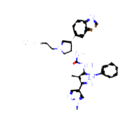 COCCN1C[C@@H](NC(=O)Nc2c(C)c(-c3cnn(C)c3)nn2-c2ccccc2)[C@H](c2ccc3ncsc3c2)C1